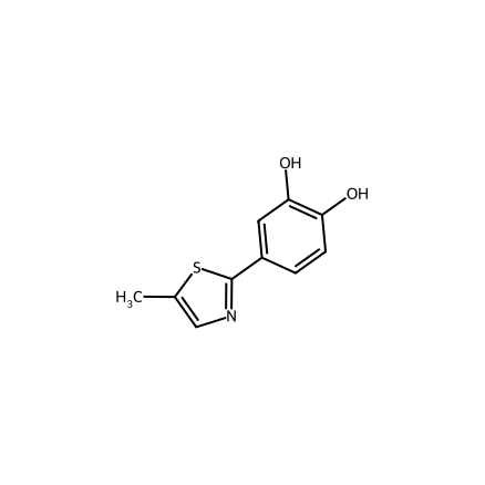 Cc1cnc(-c2ccc(O)c(O)c2)s1